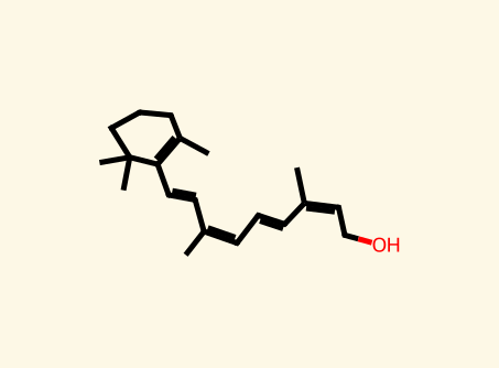 CC1=C(/C=C/C(C)=C\C=C\C(C)=C/CO)C(C)(C)CCC1